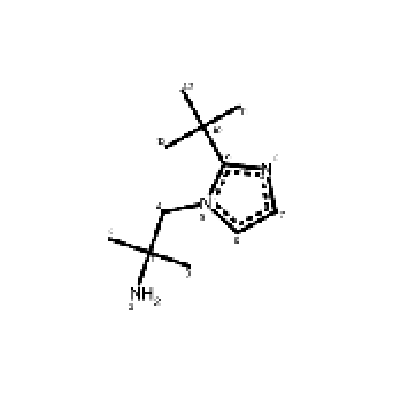 CC(C)(N)Cn1ccnc1C(C)(C)C